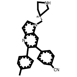 Cc1ccc(-c2nc3ccn(C[C@@H]4CCNC4)c3cc2-c2ccc(C#N)cc2)cc1